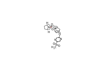 CC1(OC(=O)N2[C@@H]3CC[C@H]2C[C@H](O[C@H]2CC[C@H](Oc4cnc(S(C)(=O)=O)cn4)CC2)C3)CC1